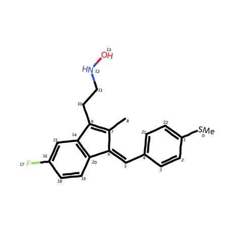 CSc1ccc(C=C2C(C)=C(CCNO)c3cc(F)ccc32)cc1